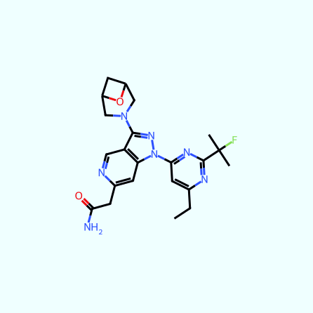 CCc1cc(-n2nc(N3CC4CC(C3)O4)c3cnc(CC(N)=O)cc32)nc(C(C)(C)F)n1